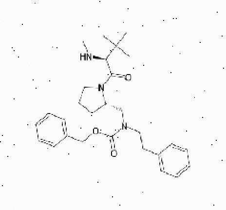 CN[C@H](C(=O)N1CCC[C@H]1CN(CCc1ccccc1)C(=O)OCc1ccccc1)C(C)(C)C